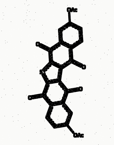 CC(=O)Oc1ccc2c(=O)c3c(sc4c(=O)c5ccc(OC(C)=O)cc5c(=O)c43)c(=O)c2c1